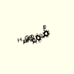 CS(=O)(=O)N[C@@H]1CCN(c2ccc(OCc3cccc(F)c3)cc2)C1=O